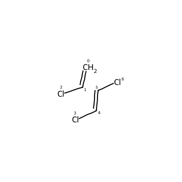 C=CCl.ClC=CCl